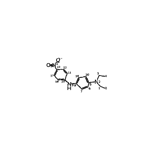 CCN(CC)c1ccc(Nc2ccc([N+](=O)[O-])cc2)cc1